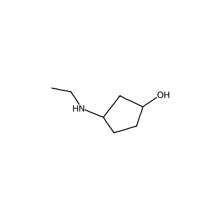 CCNC1CCC(O)C1